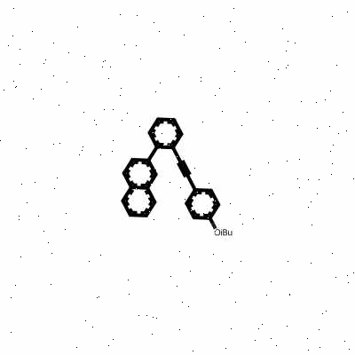 CC(C)COc1ccc(C#Cc2ccccc2-c2ccc3ccccc3c2)cc1